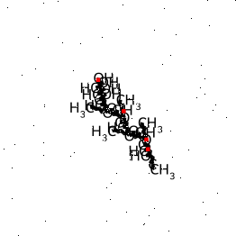 CCCCCC(O)CC(O)CC(=O)OC(CCCCC)CC(O)CC(=O)OC(CCCCC)CC(O)CC(=O)OC(CCCCC)CC(O)CC(=O)OC(CCCCC)CC(O)CC(=O)C(O)C(O)C(O)C(O)C(O)CO